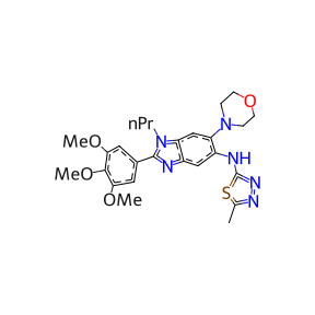 CCCn1c(-c2cc(OC)c(OC)c(OC)c2)nc2cc(Nc3nnc(C)s3)c(N3CCOCC3)cc21